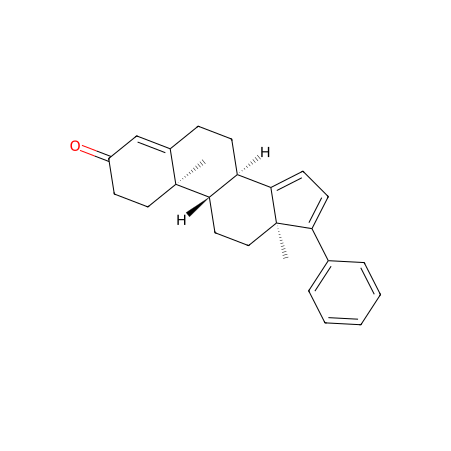 C[C@]12CC[C@H]3[C@@H](CCC4=CC(=O)CC[C@@]43C)C1=CC=C2c1ccccc1